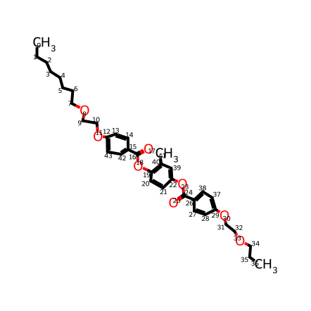 CCCCCCCCOCCOc1ccc(C(=O)Oc2ccc(OC(=O)c3ccc(OCCOCCC)cc3)cc2C)cc1